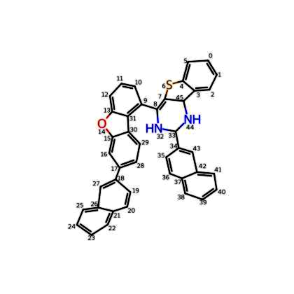 c1ccc2c(c1)SC1=C(c3cccc4oc5cc(-c6ccc7ccccc7c6)ccc5c34)NC(c3ccc4ccccc4c3)NC12